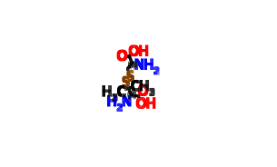 CC(C)(SSC[C@H](N)C(=O)O)[C@H](N)C(=O)O